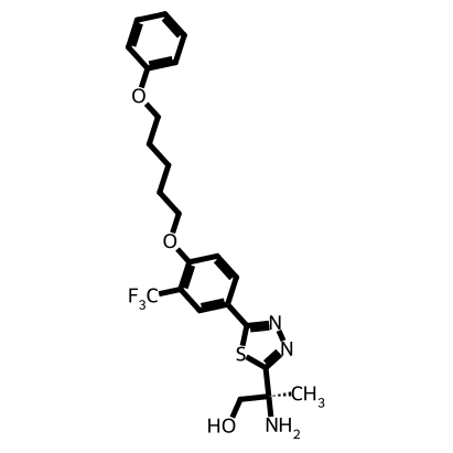 C[C@](N)(CO)c1nnc(-c2ccc(OCCCCCOc3ccccc3)c(C(F)(F)F)c2)s1